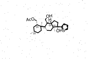 CC(=O)OC[C@H]1C[C@@H](C)CC[C@]1(C)[C@H]1CC[C@@]2(C)[C@@H](CC[C@@]2(O)c2cccs2)[C@@H]1CO